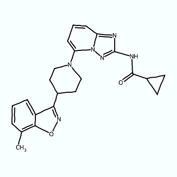 Cc1cccc2c(C3CCN(c4cccc5nc(NC(=O)C6CC6)nn45)CC3)noc12